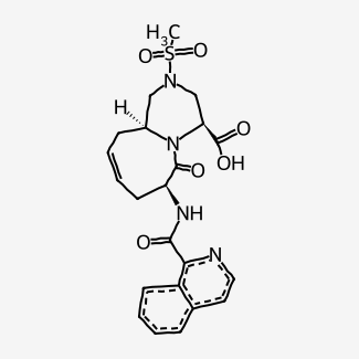 CS(=O)(=O)N1C[C@@H]2CC=CC[C@H](NC(=O)c3nccc4ccccc34)C(=O)N2[C@H](C(=O)O)C1